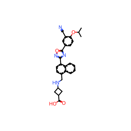 CC(C)Oc1ccc(-c2nc(-c3ccc(CNC4CC(C(=O)O)C4)c4ccccc34)no2)cc1C#N